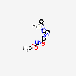 CCOC(=O)CCNC(=O)C1CCN(c2nccc3nc(NCc4ccccc4C)ncc23)CC1